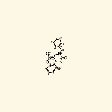 O=C1C[C@@H](c2ccccc2F)C([N+](=O)[O-])CN1Cc1ccccc1